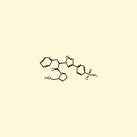 NS(=O)(=O)c1ccc(-c2cn(C(Cc3ccccc3)C(=O)N3CCCC3CO)nn2)cc1